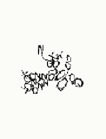 COc1ccc(C(OC[C@H]2O[C@@H](n3cnc4c(N(C(=O)OC(C)(C)C)C(=O)OC(C)(C)C)ncnc43)C[C@@H]2OP(OCCC#N)N(C(C)C)C(C)C)(c2ccccc2)c2ccc(OC)cc2)cc1